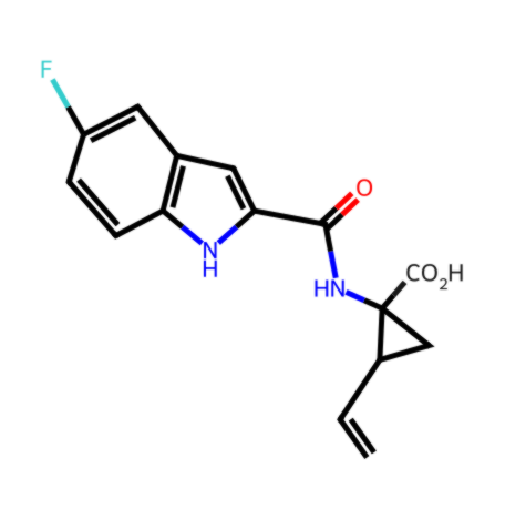 C=CC1CC1(NC(=O)c1cc2cc(F)ccc2[nH]1)C(=O)O